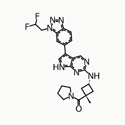 C[C@]1(C(=O)N2CCCC2)C[C@@H](Nc2ncc3c(-c4ccc5nnn(CC(F)F)c5c4)c[nH]c3n2)C1